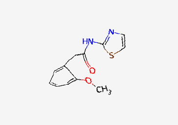 COc1ccccc1CC(=O)Nc1nccs1